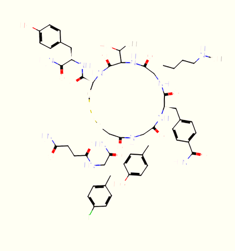 CNCCCC[C@@H]1NC(=O)[C@@H](Cc2ccc(C(N)=O)cc2)NC(=O)[C@H](Cc2ccc(O)cc2)NC(=O)[C@H](NC(=O)[C@H](Cc2ccc(Cl)cc2)NC(=O)CCC(N)=O)CSSC[C@@H](C(=O)N[C@H](Cc2ccc(O)cc2)C(N)=O)NC(=O)C(C(C)O)NC1=O